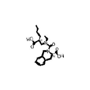 CCCC[C@@H](CN(CC)C(=O)N1Cc2ccccc2C[C@H]1C(=O)O)C(=O)O